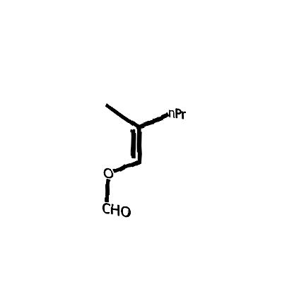 CCCC(C)=COC=O